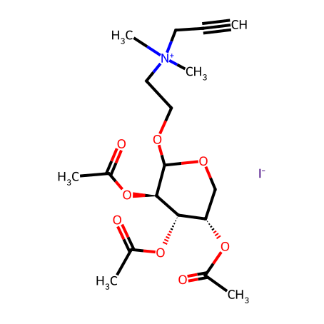 C#CC[N+](C)(C)CCOC1OC[C@H](OC(C)=O)[C@H](OC(C)=O)[C@H]1OC(C)=O.[I-]